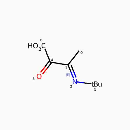 C/C(=N\C(C)(C)C)C(=O)C(=O)O